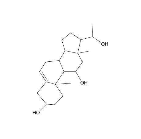 CC(O)C1CCC2C3CC=C4CC(O)CCC4(C)C3C(O)CC12C